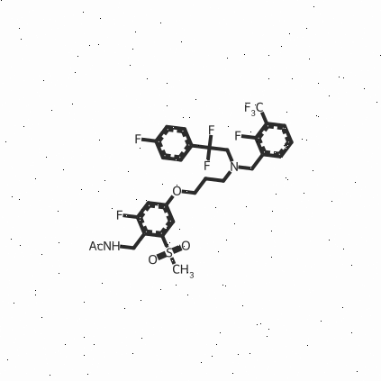 CC(=O)NCc1c(F)cc(OCCCN(Cc2cccc(C(F)(F)F)c2F)CC(F)(F)c2ccc(F)cc2)cc1S(C)(=O)=O